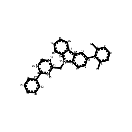 Cc1cccc(C)c1-c1ccc2c(c1)c1ccccc1n2Cc1ncnc(-c2ccccc2)n1